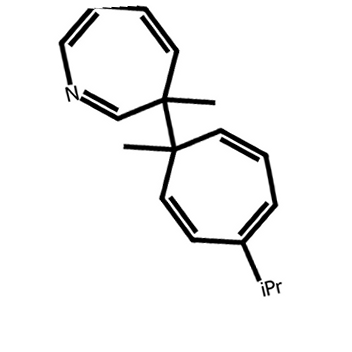 CC(C)C1=CC=CC(C)(C2(C)C=CC=CN=C2)C=C1